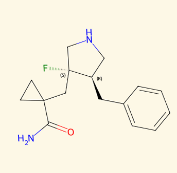 NC(=O)C1(C[C@@]2(F)CNC[C@H]2Cc2ccccc2)CC1